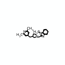 Cc1cc(CC2CCN(Cc3nc4ccccc4n3C)C2)cc(C)n1